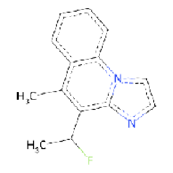 Cc1c(C(C)F)c2nccn2c2ccccc12